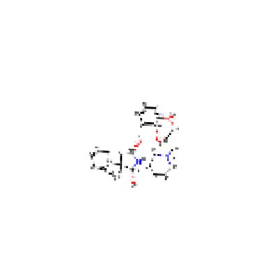 CC1(c2ccccc2)CC(=O)N([C@H]2CCCN(C[C@H]3COc4ccccc4O3)C2)C1=O